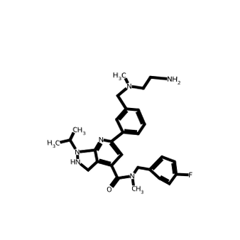 CC(C)N1NCc2c(C(=O)N(C)Cc3ccc(F)cc3)cc(-c3cccc(CN(C)CCN)c3)nc21